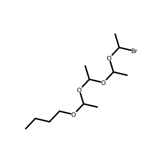 CCCCOC(C)OC(C)OC(C)OC(C)Br